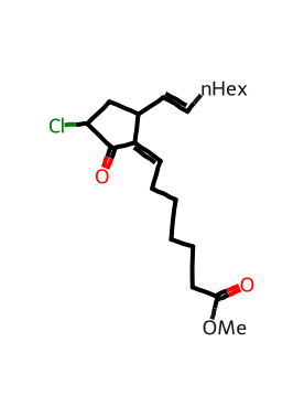 CCCCCCC=CC1CC(Cl)C(=O)C1=CCCCCCC(=O)OC